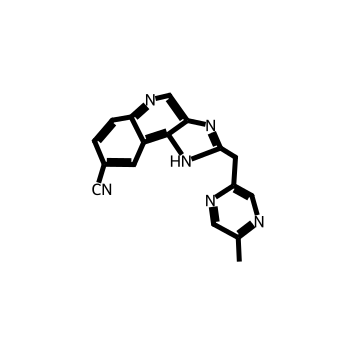 Cc1cnc(Cc2nc3cnc4ccc(C#N)cc4c3[nH]2)cn1